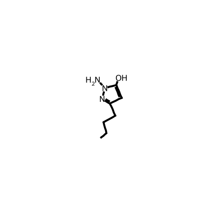 CCCCc1cc(O)n(N)n1